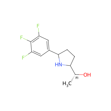 C[C@@H](O)C1CCC(c2cc(F)c(F)c(F)c2)N1